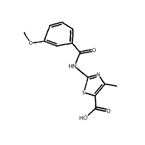 COc1cccc(C(=O)Nc2nc(C)c(C(=O)O)s2)c1